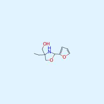 CCC1(CO)COC(c2ccco2)N1